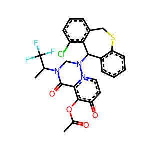 CC(=O)Oc1c2n(ccc1=O)N(C1c3ccccc3SCc3cccc(Cl)c31)CN(C(C)C(F)(F)F)C2=O